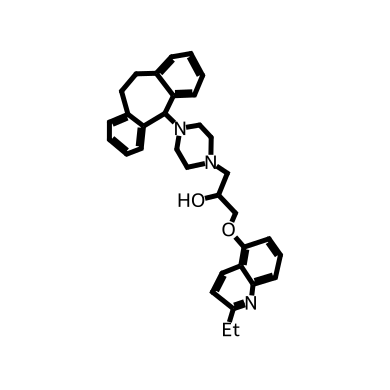 CCc1ccc2c(OCC(O)CN3CCN(C4c5ccccc5CCc5ccccc54)CC3)cccc2n1